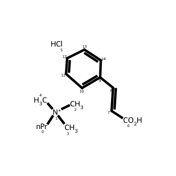 CCC[N+](C)(C)C.Cl.O=C(O)C=Cc1ccccc1